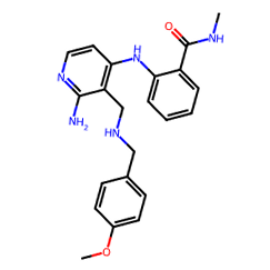 CNC(=O)c1ccccc1Nc1ccnc(N)c1CNCc1ccc(OC)cc1